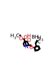 B.C/C=C\c1ccccc1OCC1C(O)C2(C(=O)OCC)CCN1CC2